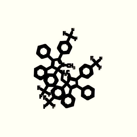 C[Si]1=C(c2ccc(C(F)(F)F)cc2)C(c2ccccc2)=C(c2ccccc2)C1(CCC1(c2ccc(C(F)(F)F)cc2)C(c2ccccc2)=C(c2ccccc2)C(c2ccc(C(F)(F)F)cc2)=[Si]1C)c1ccc(C(F)(F)F)cc1